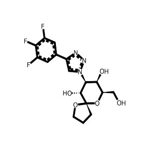 OC[C@H]1O[C@@]2(CCCO2)[C@H](O)[C@@H](n2cc(-c3cc(F)c(F)c(F)c3)nn2)[C@H]1O